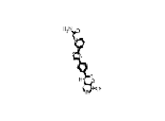 CC(C)C[C@H](NC(=O)c1ccc(-c2csc(C3=CC=CN(CC(N)=O)C3)n2)cc1)C(=O)N(C)C#N